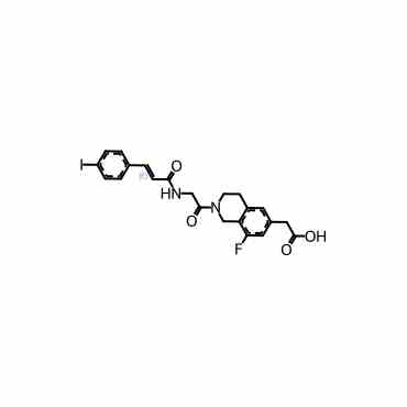 O=C(O)Cc1cc(F)c2c(c1)CCN(C(=O)CNC(=O)/C=C/c1ccc(I)cc1)C2